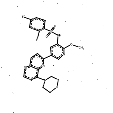 COc1ncc(-c2ccc3ncnc(N4CCOCC4)c3n2)cc1NS(=O)(=O)c1ccc(F)cc1F